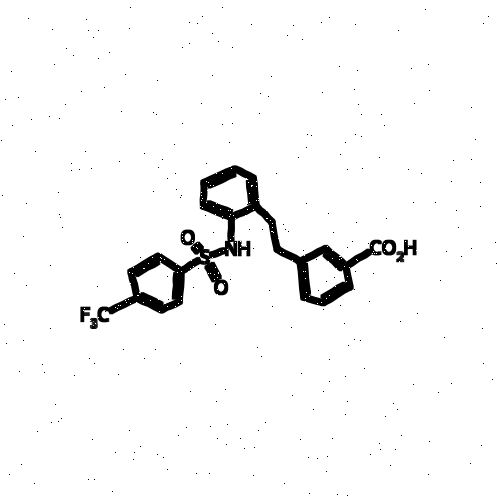 O=C(O)c1cccc(CCc2ccccc2NS(=O)(=O)c2ccc(C(F)(F)F)cc2)c1